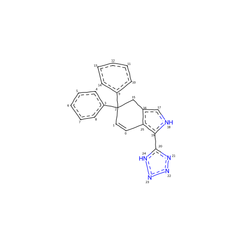 C1=CC(c2ccccc2)(c2ccccc2)Cc2c[nH]c(-c3nnn[nH]3)c21